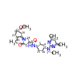 CCN(c1ccc(NC(=O)C2CC(=O)N(c3cc(OC)ccc3C)C2)cc1)c1nc(C)cc(C)n1